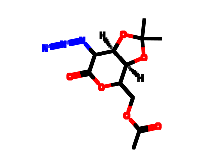 CC(=O)OCC1OC(=O)C(N=[N+]=[N-])[C@H]2OC(C)(C)O[C@@H]12